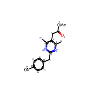 COC(=O)Cc1c(C)nc(Cc2ccc(N=O)cc2)nc1I